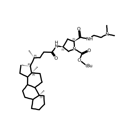 C[C@H](CCC(=O)N[C@H]1C[C@@H](C(=O)NCCN(C)C)N(C(=O)OC(C)(C)C)C1)[C@H]1CCC2C3CCC4CCCC[C@]4(C)C3CC[C@@]21C